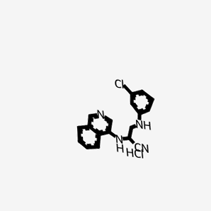 Cl.N#CC(CNc1cccc(Cl)c1)Nc1cncc2ccccc12